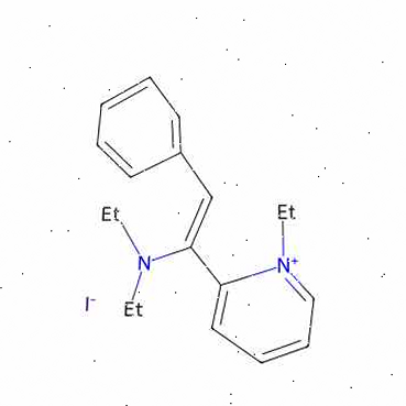 CCN(CC)C(=Cc1ccccc1)c1cccc[n+]1CC.[I-]